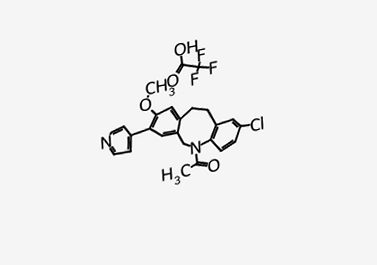 COc1cc2c(cc1-c1ccncc1)CN(C(C)=O)c1ccc(Cl)cc1CC2.O=C(O)C(F)(F)F